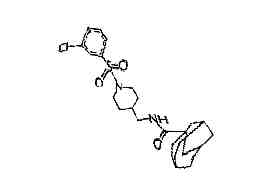 O=C(NCC1CCN(S(=O)(=O)c2cccc(Cl)c2)CC1)C12CC3CC(CC(C3)C1)C2